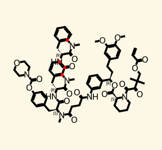 C=CC(=O)OCC(C)(C)C(=O)C(=O)N1CCCC[C@H]1C(=O)O[C@H](CCc1ccc(OC)c(OC)c1)c1cccc(NC(=O)CCC(=O)N(C)[C@@H](Cc2ccc(OC(=O)N3CCOCC3)cc2)C(=O)N[C@H](Cc2ccccc2)C(=O)N(C)CC(=O)N[C@H](Cc2ccccc2)C(=O)N(C)CC)c1